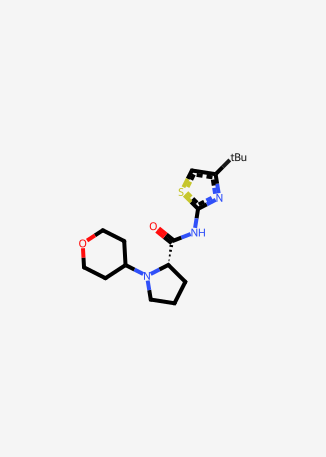 CC(C)(C)c1csc(NC(=O)[C@@H]2CCCN2C2CCOCC2)n1